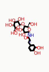 O=C(/C=C/c1ccc(O)c(O)c1)N[C@@H]1O[C@H](CO)[C@@H](O[C@H]2O[C@H](CO)[C@@H](O)[C@H](O)[C@H]2O)[C@H](O)[C@H]1O